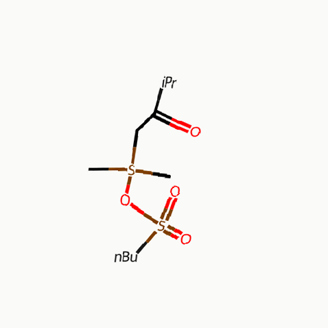 CCCCS(=O)(=O)OS(C)(C)CC(=O)C(C)C